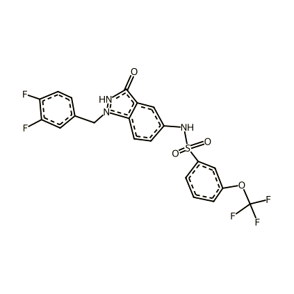 O=c1[nH]n(Cc2ccc(F)c(F)c2)c2ccc(NS(=O)(=O)c3cccc(OC(F)(F)F)c3)cc12